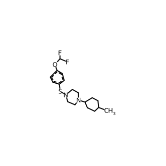 CC1CCC(N2CCN(Sc3ccc(OC(F)F)cc3)CC2)CC1